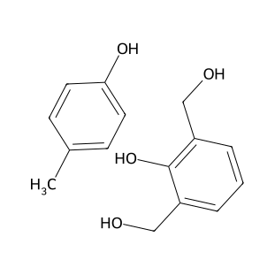 Cc1ccc(O)cc1.OCc1cccc(CO)c1O